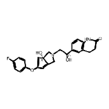 O=C1CCc2cc([C@@H](O)CN3CC4=CC(Oc5ccc(F)cc5)=C[C@@]4(O)C3)ccc2N1